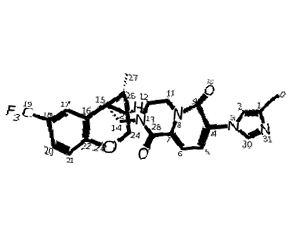 Cc1cn(-c2ccc3n(c2=O)CCN(C[C@@]24c5cc(C(F)(F)F)ccc5OC[C@@H]2[C@H]4C)C3=O)cn1